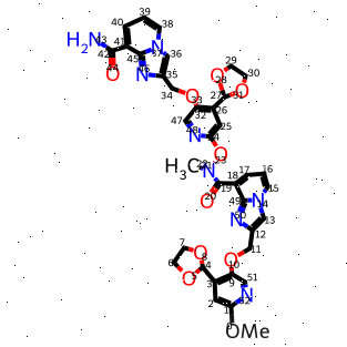 COc1cc(C2OCCO2)c(OCc2cn3cccc(C(=O)N(C)Oc4cc(C5OCCO5)c(OCc5cn6cccc(C(N)=O)c6n5)cn4)c3n2)cn1